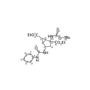 CCOC(=O)C1C2C(NC(=O)Nc3ccccc3)CC(NC(=O)OC(C)(C)C)(C(=O)OCC)C12